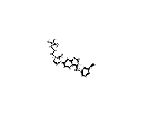 C#Cc1cccc(Nc2ncnc3cc(-n4ccn(CCCS(C)(=O)=O)c4=O)ccc23)c1